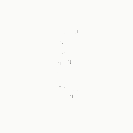 CN(C(=O)c1cc2cc(Nc3nccc(-c4cc(Cl)ccn4)n3)ccc2[nH]1)C1CCOCC1